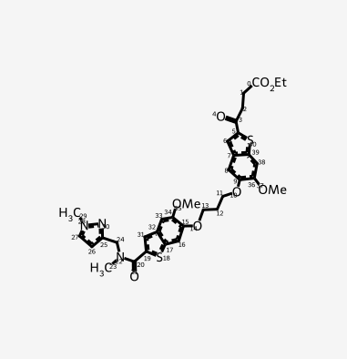 CCOC(=O)CCC(=O)c1cc2cc(OCCCOc3cc4sc(C(=O)N(C)Cc5ccn(C)n5)cc4cc3OC)c(OC)cc2s1